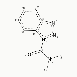 CN(C)C(=O)n1nnc2ncccc21